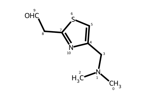 CN(C)Cc1csc(CC=O)n1